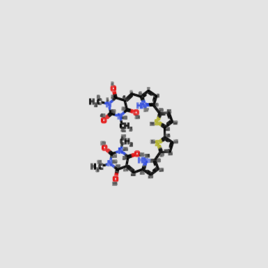 CN1C(=O)C(=Cc2ccc(-c3ccc(-c4ccc(-c5ccc(C=C6C(=O)N(C)C(=O)N(C)C6=O)[nH]5)s4)s3)[nH]2)C(=O)N(C)C1=O